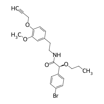 C#CCOc1ccc(CCNC(=O)[C@@H](OCCC)c2ccc(Br)cc2)cc1OC